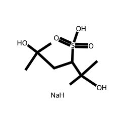 CC(C)(O)CC(C(C)(C)O)S(=O)(=O)O.[NaH]